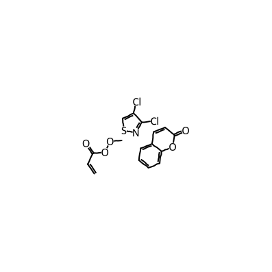 C=CC(=O)OOC.Clc1csnc1Cl.O=c1ccc2ccccc2o1